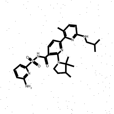 Cc1ccc(NCC(C)C)nc1-c1ccc(C(=O)NS(=O)(=O)c2cccc(N)n2)c(N2CCC(C)C2(C)C)n1